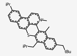 Cc1c2c(c(CC(C)C)c3ccc(CC(C)(C)C)cc13)Sc1cc3ccc(C(C)C)cc3c3cc[n+](C)c-2c13